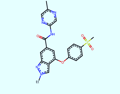 CCn1cc2c(Oc3ccc(S(C)(=O)=O)cc3)cc(C(=O)Nc3cnc(C)cn3)cc2n1